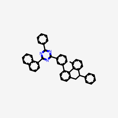 Cc1cccc2c1-c1c(cccc1-c1cccc(-c3nc(-c4ccccc4)nc(-c4cccc5ccccc45)n3)c1)CC2c1ccccc1